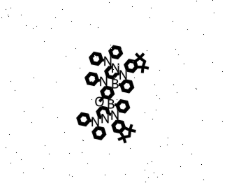 CC1(C)CC(C)(C)c2cc(N3c4ccccc4B4c5cc6c(cc5Oc5cc(N(c7ccccc7)c7ccccc7)nc3c54)N(c3ccccc3)c3cc(N(c4ccccc4)c4ccccc4)nc4c3B6c3ccccc3N4c3ccc4c(c3)C(C)(C)CC4(C)C)ccc21